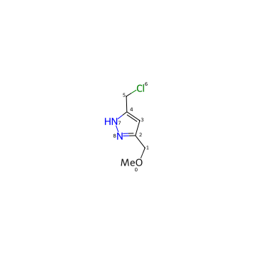 COCc1cc(CCl)[nH]n1